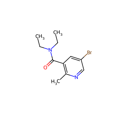 CCN(CC)C(=O)c1cc(Br)cnc1C